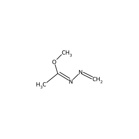 C=N/N=C(/C)OC